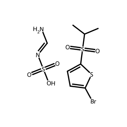 CC(C)S(=O)(=O)c1ccc(Br)s1.NC=NS(=O)(=O)O